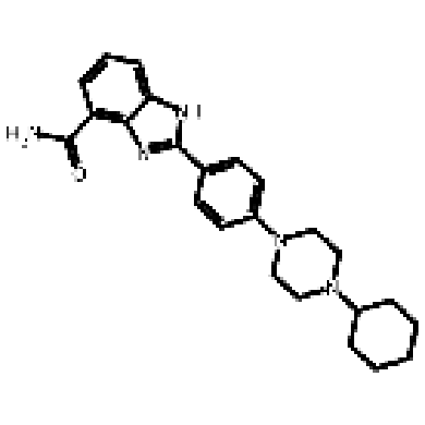 NC(=O)c1cccc2[nH]c(-c3ccc(N4CCN(C5CCCCC5)CC4)cc3)nc12